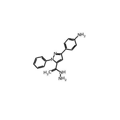 C=C(NN)c1cc(-c2ccc(N)cc2)nn1-c1ccccc1